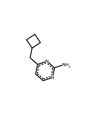 Nc1nccc(CC2CCC2)n1